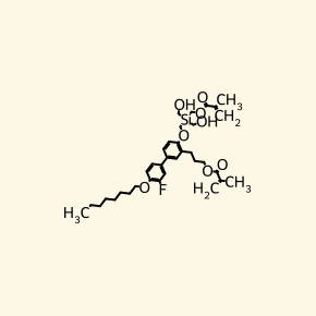 C=C(C)C(=O)OCCCc1cc(-c2ccc(OCCCCCCCC)c(F)c2)ccc1OC[Si](CO)(CO)COC(=O)C(=C)C